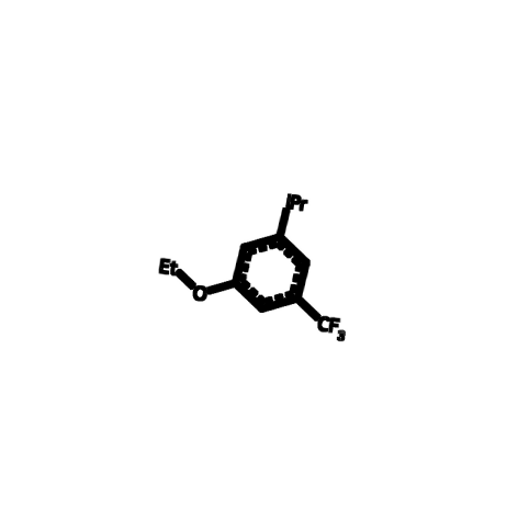 CCOc1cc(C(C)C)cc(C(F)(F)F)c1